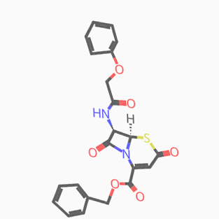 O=C(COc1ccccc1)N[C@@H]1C(=O)N2C(C(=O)OCc3ccccc3)=CC(=O)S[C@H]12